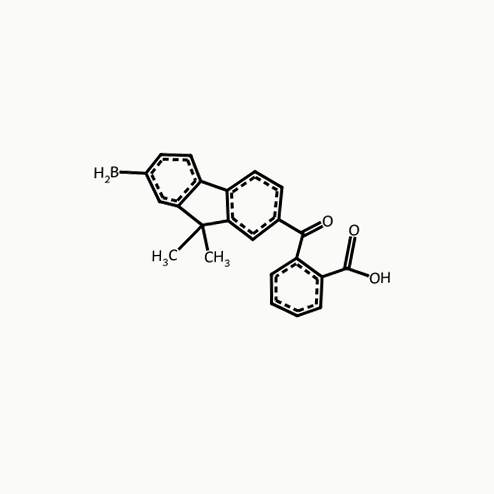 Bc1ccc2c(c1)C(C)(C)c1cc(C(=O)c3ccccc3C(=O)O)ccc1-2